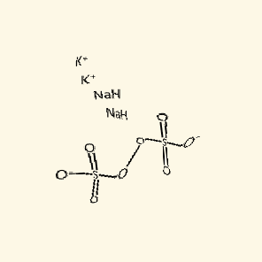 O=S(=O)([O-])OOS(=O)(=O)[O-].[K+].[K+].[NaH].[NaH]